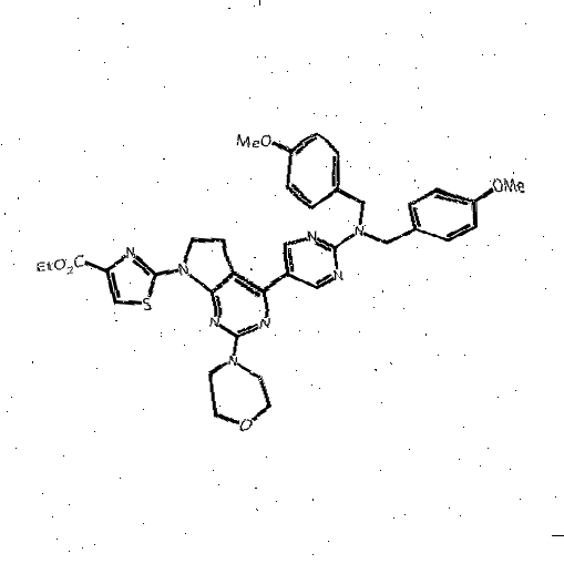 CCOC(=O)c1csc(N2CCc3c(-c4cnc(N(Cc5ccc(OC)cc5)Cc5ccc(OC)cc5)nc4)nc(N4CCOCC4)nc32)n1